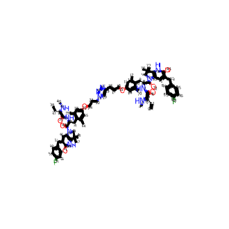 CC[C@H](NC)C(=O)N[C@@H](Cc1c(C)cc(OCCCc2cn(CCCOc3cc(C)c(C[C@H](NC(=O)[C@H](CC)NC)C(=O)N4CC(C)(C)c5[nH]c(=O)c(Cc6ccc(F)cc6)cc54)c(C)c3)nn2)cc1C)C(=O)N1CC(C)(C)c2[nH]c(=O)c(Cc3ccc(F)cc3)cc21